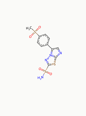 CS(=O)(=O)c1ccc(-c2cnc3sc(S(N)(=O)=O)nn23)cc1